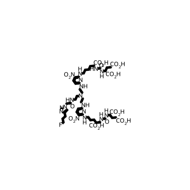 O=C(O)CC[C@H](NC(=O)N[C@@H](CCCCNc1nc(NCCN(CCNC(=O)Cn2cc(CCCF)nn2)CCNc2ccc([N+](=O)[O-])c(NCCCC[C@H](NC(=O)N[C@@H](CCC(=O)O)C(=O)O)C(=O)O)n2)ccc1[N+](=O)[O-])C(=O)O)C(=O)O